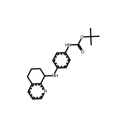 CC(C)(C)OC(=O)Nc1ccc(NC2CCCc3cccnc32)cc1